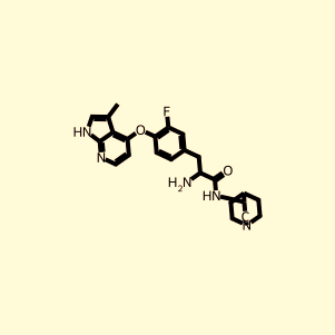 Cc1c[nH]c2nccc(Oc3ccc(CC(N)C(=O)NC4CN5CCC4CC5)cc3F)c12